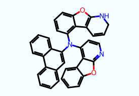 C1=Cc2c(oc3cccc(N(c4cc5ccccc5c5ccccc45)c4ccnc5oc6ccccc6c45)c23)NC1